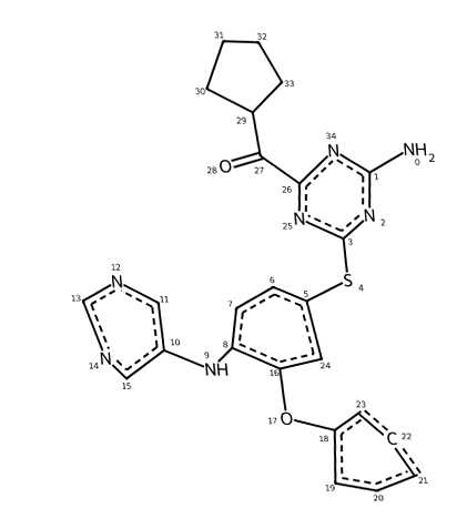 Nc1nc(Sc2ccc(Nc3cncnc3)c(Oc3ccccc3)c2)nc(C(=O)C2CCCC2)n1